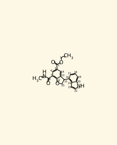 CCOC(=O)c1cc(C(=O)NC)c2c(c1)C(c1cccc3[nH]ccc13)CO2